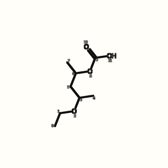 CCOC(C)CC(C)OC(=O)O